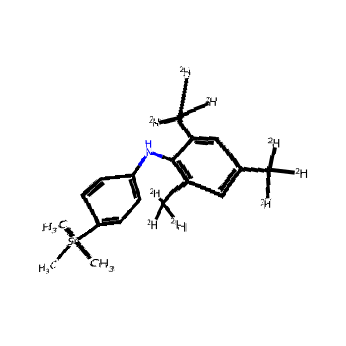 [2H]C([2H])([2H])c1cc(C([2H])([2H])[2H])c(Nc2ccc([Si](C)(C)C)cc2)c(C([2H])([2H])[2H])c1